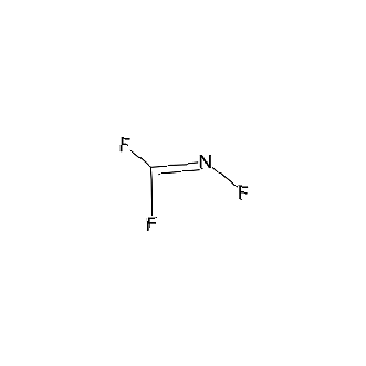 FN=C(F)F